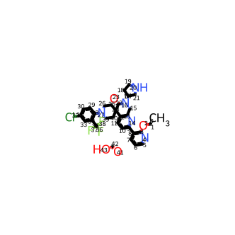 CCOc1ncccc1-c1ccc2c(n1)CN([C@H]1CCNC1)C(=O)C21CCN(c2ccc(Cl)cc2C(F)(F)F)CC1.O=CO